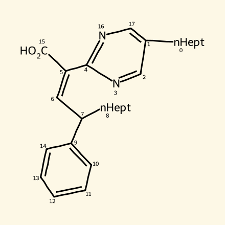 CCCCCCCc1cnc(/C(=C\C(CCCCCCC)c2ccccc2)C(=O)O)nc1